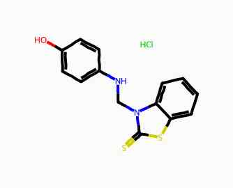 Cl.Oc1ccc(NCn2c(=S)sc3ccccc32)cc1